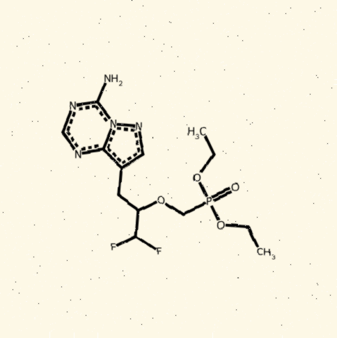 CCOP(=O)(COC(Cc1cnn2c(N)ncnc12)C(F)F)OCC